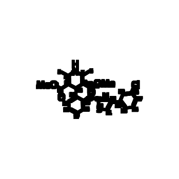 COC(=O)C1=C(C)NC(C)=C(C(=O)OC)C1c1ccccc1Nc1nc(-c2cccc(Cl)c2)cs1